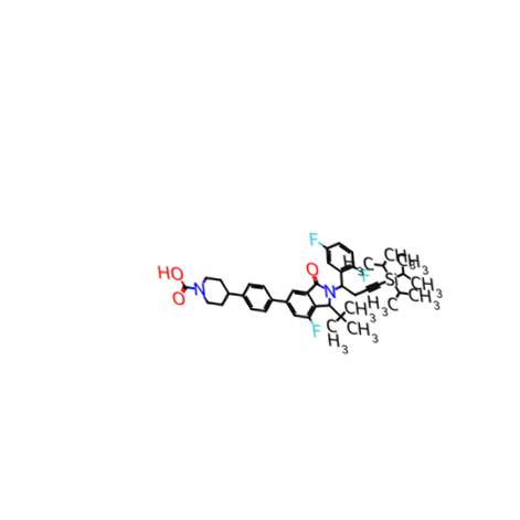 CC(C)[Si](C#CCC(c1cc(F)ccc1F)N1C(=O)c2cc(-c3ccc(C4CCN(C(=O)O)CC4)cc3)cc(F)c2C1C(C)(C)C)(C(C)C)C(C)C